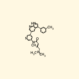 Cc1cccc(-c2c[nH]c3ncc(-c4cncc(N(C)C(=O)/C=C/CN(C)C)c4)cc23)c1